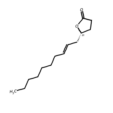 CCCCCCCC=CC[C@H]1CCC(=O)O1